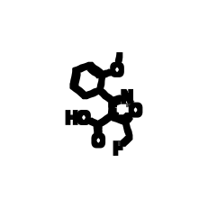 COC1=CC=CCC1c1noc(CF)c1C(=O)O